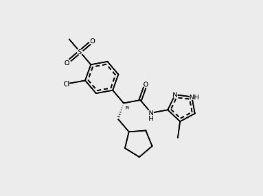 Cc1c[nH]nc1NC(=O)[C@H](CC1CCCC1)c1ccc(S(C)(=O)=O)c(Cl)c1